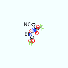 CCN(C(=O)Cn1nc(-c2cccc(C#N)c2)c2oc(C(F)F)cc2c1=O)c1ccc2c(c1)OC(F)(F)O2